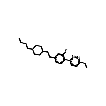 CCCCC1CCC(CCc2ccc(-c3ccc(CC)nn3)c(F)c2)CC1